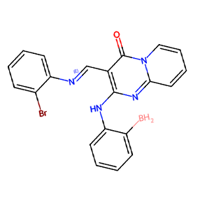 Bc1ccccc1Nc1nc2ccccn2c(=O)c1/C=N/c1ccccc1Br